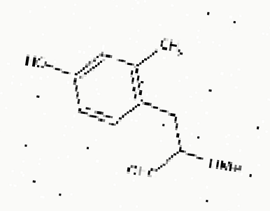 COC(C=O)Cc1ccc(O)cc1C